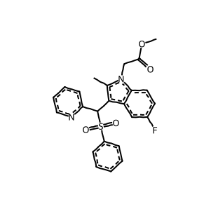 COC(=O)Cn1c(C)c(C(c2ccccn2)S(=O)(=O)c2ccccc2)c2cc(F)ccc21